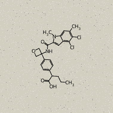 CCCC(C(=O)O)c1ccc(C2(NC(=O)c3cc4c(Cl)c(Cl)c(C)cc4n3C)COC2)cc1